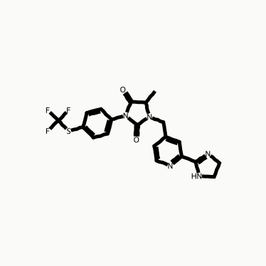 CC1C(=O)N(c2ccc(SC(F)(F)F)cc2)C(=O)N1Cc1ccnc(C2=NCCN2)c1